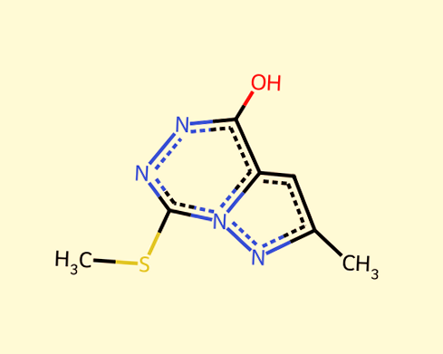 CSc1nnc(O)c2cc(C)nn12